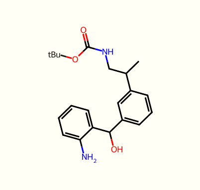 CC(CNC(=O)OC(C)(C)C)c1cccc(C(O)c2ccccc2N)c1